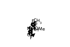 COC(Nc1ncnc2cc(=O)n(C3(CF)CC3)cc12)c1cccc(C(C)(F)F)c1F